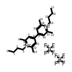 CCCC[n+]1c(C)cc(-c2cc(C)[n+](CCCC)c(C)c2)cc1C.F[B-](F)(F)F.F[B-](F)(F)F